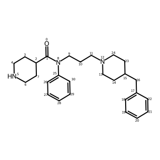 O=C(C1CCNCC1)N(CCCN1CCC(Cc2ccccc2)CC1)c1ccccc1